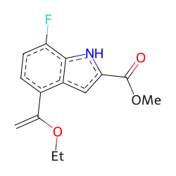 C=C(OCC)c1ccc(F)c2[nH]c(C(=O)OC)cc12